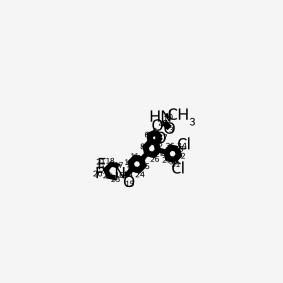 CNC(=O)Oc1cc2cc(-c3ccc(C(=O)N4CCC(F)(F)CC4)cc3)cc(-c3cc(Cl)cc(Cl)c3)c2o1